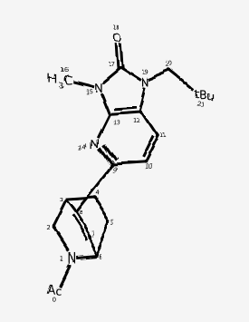 CC(=O)N1CC2CCC1C=C2c1ccc2c(n1)n(C)c(=O)n2CC(C)(C)C